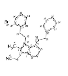 Cc1c(CC#N)[n+]2cccc(OCc3ccccc3)c2n1CCc1ccccc1.[Br-]